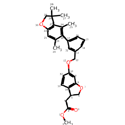 COC(=O)CC1COc2cc(OCc3cccc(-c4c(C)cc5c(c4C)C(C)(C)CO5)c3)ccc21